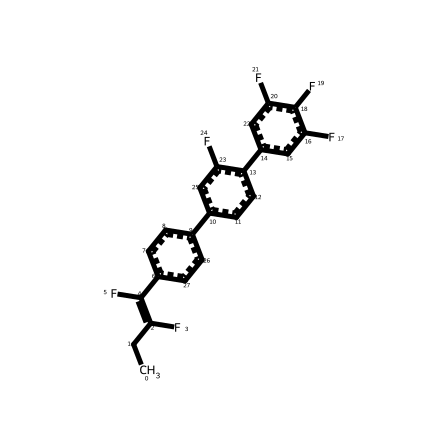 CC/C(F)=C(\F)c1ccc(-c2ccc(-c3cc(F)c(F)c(F)c3)c(F)c2)cc1